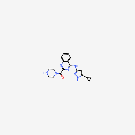 O=C(c1nc(Nc2cc(C3CC3)[nH]n2)c2ccccc2n1)N1CCNCC1